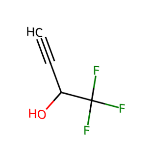 C#CC(O)C(F)(F)F